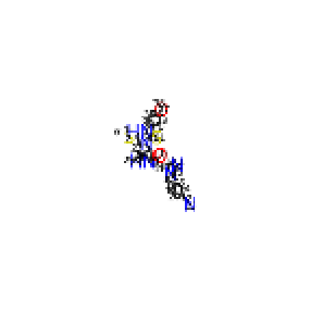 CCSCCN(C[C@@H](NC(=O)Cc1cncn1Cc1ccc(C#N)cc1)[C@@H](C)CC)C(=S)Nc1ccc(OC)cc1